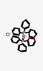 [Cl-].c1ccc(P(=[N+]=P(c2ccccc2)(c2ccccc2)c2ccccc2)(c2ccccc2)c2ccccc2)cc1